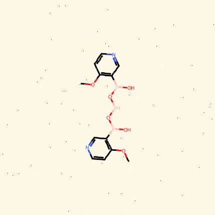 COc1ccncc1B(O)OBOB(O)c1cnccc1OC